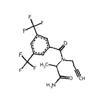 C#CCN(C(=O)c1cc(C(F)(F)F)cc(C(F)(F)F)c1)C(C)C(N)=O